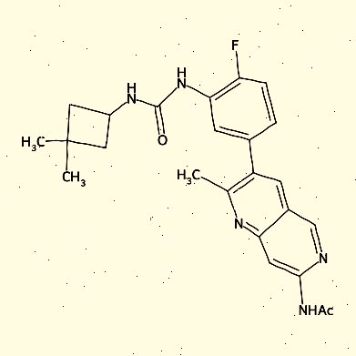 CC(=O)Nc1cc2nc(C)c(-c3ccc(F)c(NC(=O)NC4CC(C)(C)C4)c3)cc2cn1